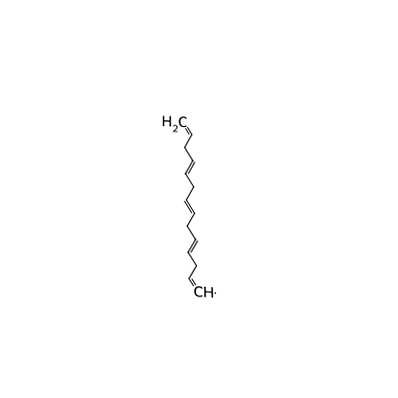 [CH]=CCC=CCC=CCC=CCC=C